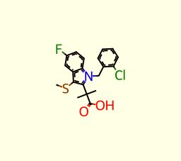 CSc1c(C(C)(C)C(=O)O)n(Cc2ccccc2Cl)c2ccc(F)cc12